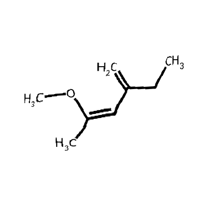 C=C(/C=C(/C)OC)CC